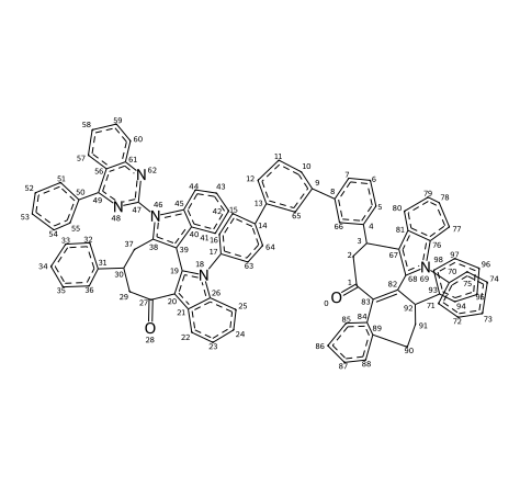 O=C1CC(c2cccc(-c3cccc(-c4ccc(-n5c6c(c7ccccc75)C(=O)CC(c5ccccc5)Cc5c-6c6ccccc6n5-c5nc(-c6ccccc6)c6ccccc6n5)cc4)c3)c2)c2c(n(-c3ccccc3)c3ccccc23)C2=C1c1ccccc1CCC2c1ccccc1